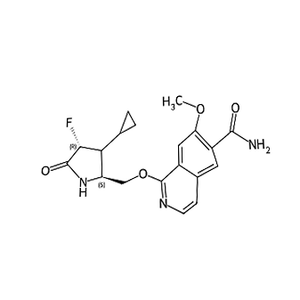 COc1cc2c(OC[C@H]3NC(=O)[C@H](F)C3C3CC3)nccc2cc1C(N)=O